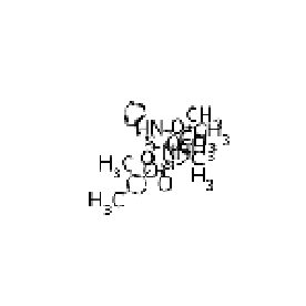 Cc1ccc(OC(=O)[C@H](CC(C)C)NC(=O)[C@H](Cc2ccccc2)NC(=O)OC(C)(C)C)c(C)c1